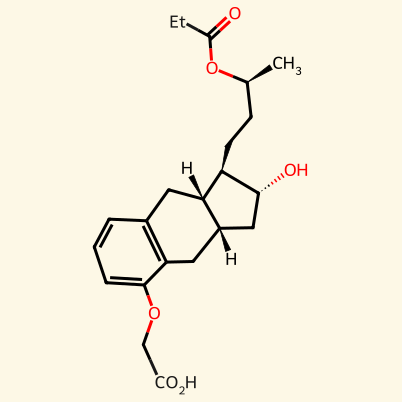 CCC(=O)O[C@@H](C)CC[C@@H]1[C@H]2Cc3cccc(OCC(=O)O)c3C[C@H]2C[C@H]1O